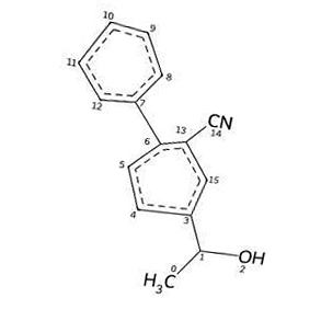 CC(O)c1ccc(-c2ccccc2)c(C#N)c1